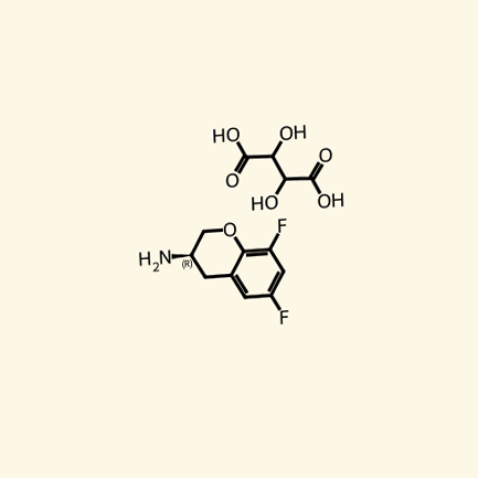 N[C@H]1COc2c(F)cc(F)cc2C1.O=C(O)C(O)C(O)C(=O)O